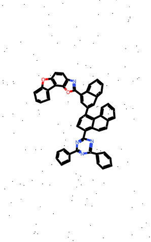 c1ccc(-c2nc(-c3ccccc3)nc(-c3ccc(-c4cc(-c5nc6ccc7oc8ccccc8c7c6o5)c5ccccc5c4)c4c3ccc3ccccc34)n2)cc1